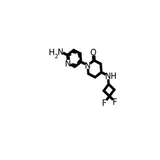 Nc1ccc(N2CCC(NC3CC(F)(F)C3)CC2=O)cn1